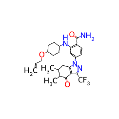 C=CCOC1CCC(Nc2cc(-n3nc(C(F)(F)F)c4c3CC(C)C(C)C4=O)ccc2C(N)=O)CC1